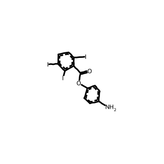 Nc1ccc(OC(=O)c2c(I)ccc(I)c2I)cc1